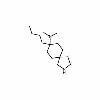 CCCCC1(N(C)C)CCC2(CCNC2)CC1